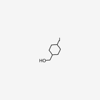 OCC1CCC(I)CC1